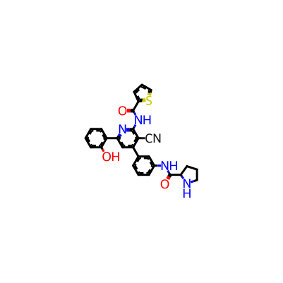 N#Cc1c(-c2cccc(NC(=O)C3CCCN3)c2)cc(-c2ccccc2O)nc1NC(=O)c1cccs1